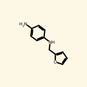 Nc1ccc(NCc2ccco2)cc1